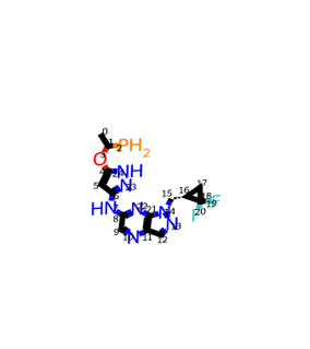 CC(P)Oc1cc(Nc2cnc3cnn(C[C@@H]4CC4(F)F)c3n2)n[nH]1